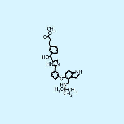 COC(=O)CCc1cccc(C(O)c2cnc(-c3cccc(Oc4ccc5[nH]ccc5c4CNC(C)(C)C)c3)[nH]2)c1